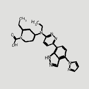 CCC1CC(N(CC)c2ccc(-c3ccc(-n4cccn4)c4cn[nH]c34)nn2)CCN1C(=O)O